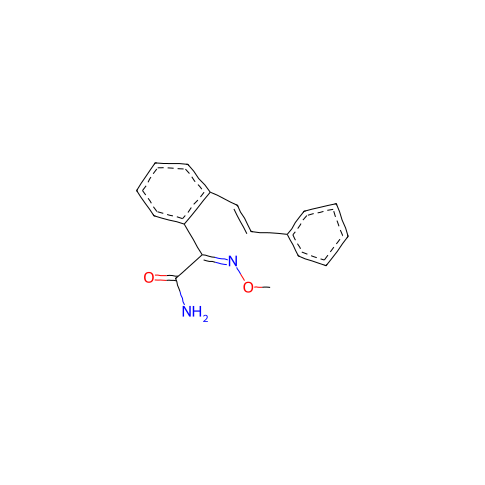 CON=C(C(N)=O)c1ccccc1C=Cc1ccccc1